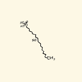 CCCCCCCCCCCCCCCCCCOP(=O)(O)O.[Nd]